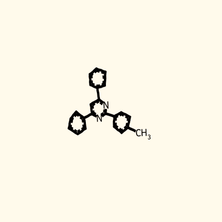 Cc1ccc(-c2nc(-c3ccccc3)cc(-c3ccccc3)n2)cc1